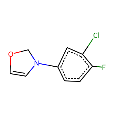 Fc1ccc(N2C=COC2)cc1Cl